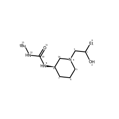 CCC(O)CN1CCC[C@@H](NC(=O)NC(C)(C)C)C1